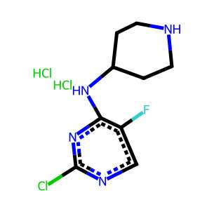 Cl.Cl.Fc1cnc(Cl)nc1NC1CCNCC1